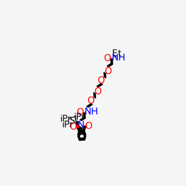 CCNC(=O)CCOCCOCCOCCOCCNC(=O)CCN1C(=O)C2C3C=CC(C3CCC[Si](C(C)C)(C(C)C)C(C)C)C2C1=O